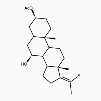 CC(=O)O[C@H]1CC[C@@]2(C)C(C1)C[C@H](O)C1C2CC[C@]2(C)/C(=C(\F)I)CCC12